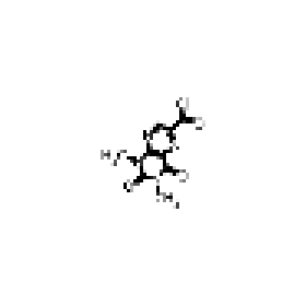 Cn1c(=O)c2nc(C(=O)Cl)cnc2n(C)c1=O